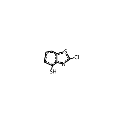 Sc1cccc2sc(Cl)nc12